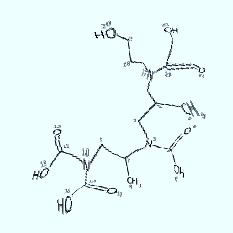 CC(CN(C(=O)O)C(C)CN(C(=O)O)C(=O)O)N(CCO)C(=O)O